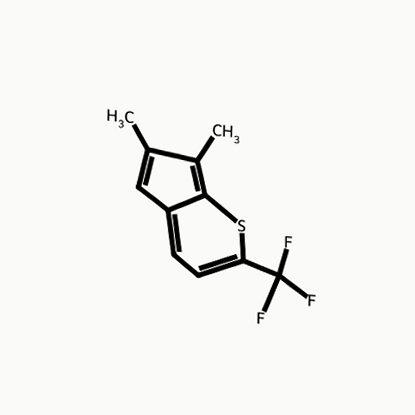 Cc1cc2ccc(C(F)(F)F)sc-2c1C